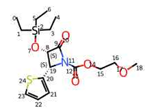 CC[Si](CC)(CC)O[C@@H]1C(=O)N(C(=O)OCCOC)[C@@H]1c1cccs1